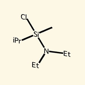 CCN(CC)[Si](C)(Cl)C(C)C